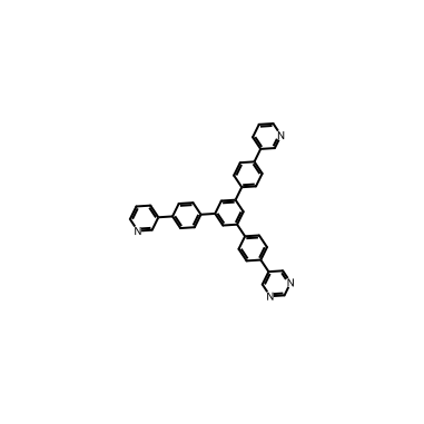 c1cncc(-c2ccc(-c3cc(-c4ccc(-c5cccnc5)cc4)cc(-c4ccc(-c5cncnc5)cc4)c3)cc2)c1